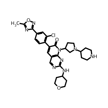 Cc1nc(-c2ccc(-c3cc4cnc(NC5CCOCC5)nc4n(C4CCN(C5CCNCC5)C4)c3=O)c(Cl)c2)no1